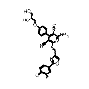 [C-]#[N+]c1c(N)nc(SCc2coc(-c3ccc(Cl)c(F)c3)n2)c(C#N)c1-c1ccc(OC[C@@H](O)CO)cc1